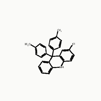 Cc1ccc(C2(c3ccc(C)cc3)c3ccccc3Nc3ccc(Cl)cc32)cc1